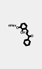 CCCCCCOc1cccc(C=CC(=O)c2ccccc2)c1O